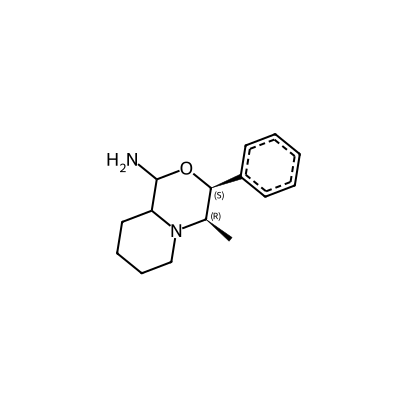 C[C@@H]1[C@H](c2ccccc2)OC(N)C2CCCCN21